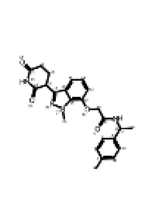 Cc1ccc([C@H](C)NC(=O)COc2cccc3c(C4CCC(=O)NC4=O)nn(C)c23)cc1